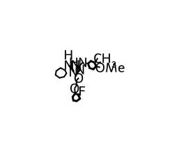 COc1ccc(Nc2nc(NC3CCCCCC3)nc(OCCOc3ccccc3F)n2)cc1C